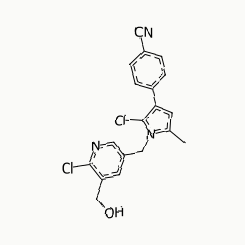 Cc1cc(-c2ccc(C#N)cc2)c(Cl)n1Cc1cnc(Cl)c(CO)c1